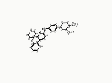 O=[C]C1CN(c2ccc(Nc3ncc4c(n3)C3(CCOCC3)Oc3cccnc3-4)cc2)CCN1C(=O)O